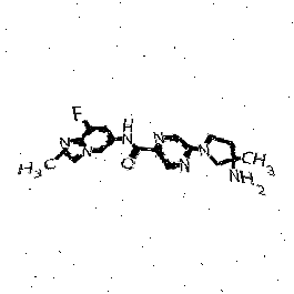 Cc1cn2cc(NC(=O)c3cnc(N4CCC(C)(N)C4)cn3)cc(F)c2n1